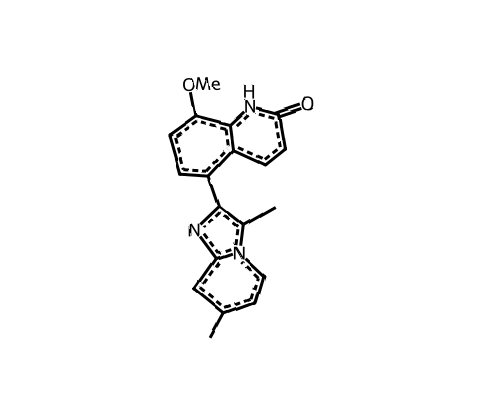 COc1ccc(-c2nc3cc(C)ccn3c2C)c2ccc(=O)[nH]c12